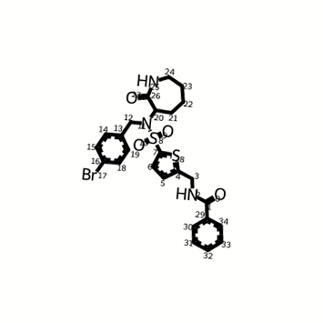 O=C(NCc1ccc(S(=O)(=O)N(Cc2ccc(Br)cc2)C2CCCCNC2=O)s1)c1ccccc1